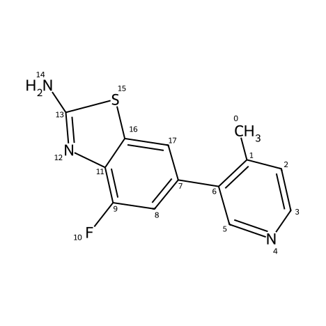 Cc1ccncc1-c1cc(F)c2nc(N)sc2c1